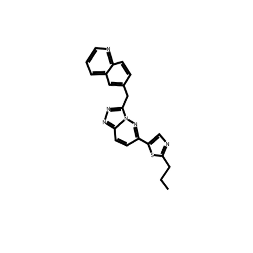 CCCc1ncc(-c2ccc3nnc(Cc4ccc5ncccc5c4)n3n2)s1